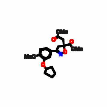 COC(=O)C[C@]1(C(=O)OC)CC(c2ccc(OC)c(OC3CCCC3)c2)=NO1